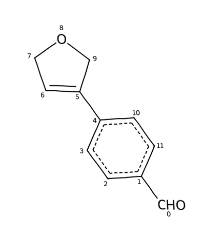 O=Cc1ccc(C2=CCOC2)cc1